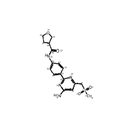 CS(=O)(=O)Cc1cc(N)nc(-c2ccc(NC(=O)C3CCOC3)cc2)n1